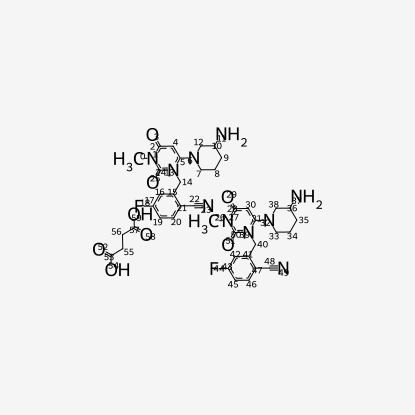 Cn1c(=O)cc(N2CCCC(N)C2)n(Cc2cc(F)ccc2C#N)c1=O.Cn1c(=O)cc(N2CCCC(N)C2)n(Cc2cc(F)ccc2C#N)c1=O.O=C(O)CCC(=O)O